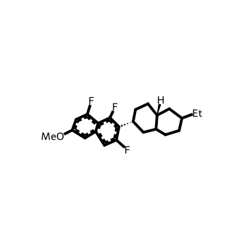 CCC1CCC2C[C@H](c3c(F)cc4cc(OC)cc(F)c4c3F)CC[C@@H]2C1